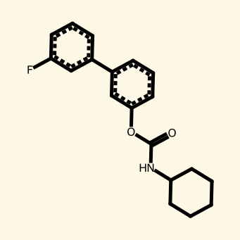 O=C(NC1CCCCC1)Oc1cccc(-c2cccc(F)c2)c1